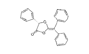 O=C1OC(=C(c2ccccc2)c2ccccc2)O[C@H]1c1ccccc1